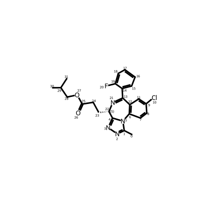 Cc1nnc2n1-c1ccc(Cl)cc1C(c1ccccc1F)=N[C@H]2CCC(=O)OCC(C)C